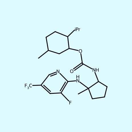 CC1CCC(C(C)C)C(OC(=O)NC2CCCC2(C)Nc2ncc(C(F)(F)F)cc2F)C1